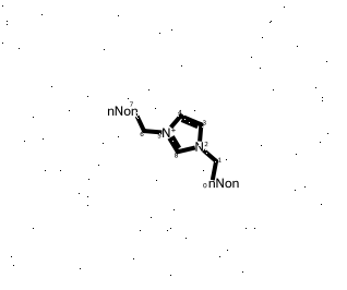 CCCCCCCCCCn1cc[n+](CCCCCCCCCC)c1